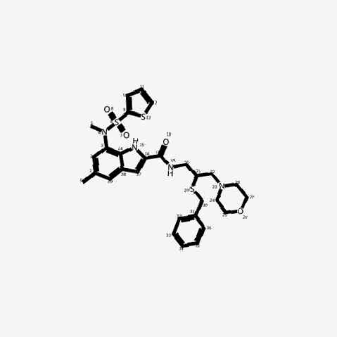 Cc1cc(N(C)S(=O)(=O)c2cccs2)c2[nH]c(C(=O)NCC(CN3CCOCC3)SCc3ccccc3)cc2c1